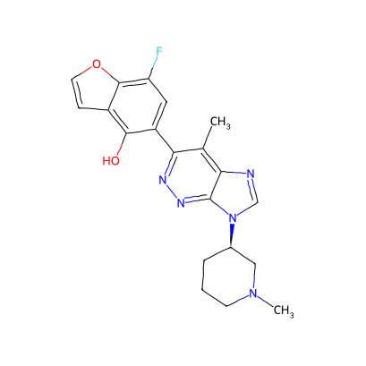 Cc1c(-c2cc(F)c3occc3c2O)nnc2c1ncn2[C@@H]1CCCN(C)C1